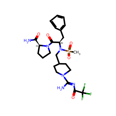 CS(=O)(=O)N(CC1CCN(C(N)=NC(=O)C(F)(F)F)CC1)[C@H](Cc1ccccc1)C(=O)N1CCC[C@H]1C(N)=O